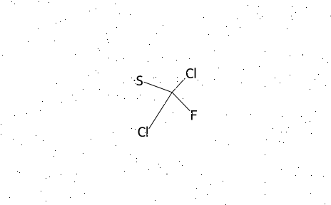 FC([S])(Cl)Cl